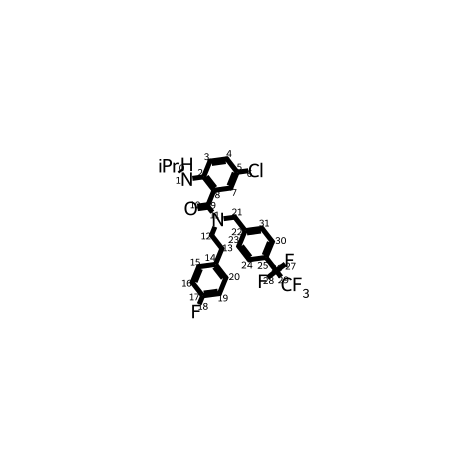 CC(C)Nc1ccc(Cl)cc1C(=O)N(CCc1ccc(F)cc1)Cc1ccc(C(F)(F)C(F)(F)F)cc1